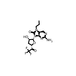 CCCn1c(=O)n([C@@H]2O[C@H](C(=O)C(F)(F)F)C[C@H]2O)c2nc(N)ncc21